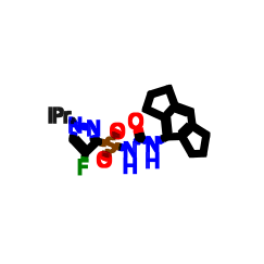 CC(C)n1cc(F)c(S(=O)(=O)NC(=O)Nc2c3c(cc4c2CCC4)CCC3)n1